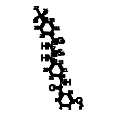 COc1cccc(C(=O)Nc2ccc(NC(=S)NC(=O)c3ccc(C(C)(C)C)cc3)cc2)c1